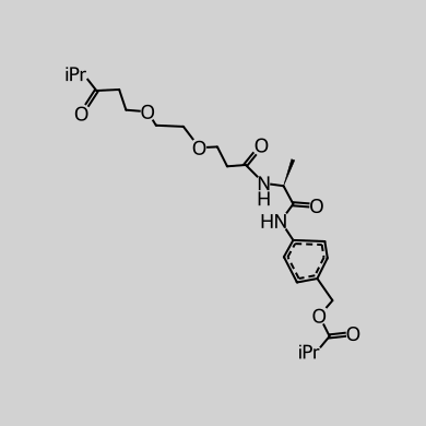 CC(C)C(=O)CCOCCOCCC(=O)N[C@@H](C)C(=O)Nc1ccc(COC(=O)C(C)C)cc1